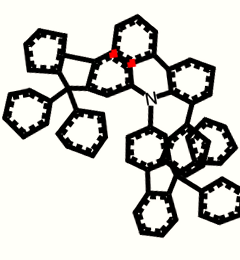 c1ccc(-c2cccc(-c3ccccc3)c2N(c2ccc3c(c2)C(c2ccccc2)(c2ccccc2)c2ccccc2-3)c2ccc3c(c2)C(c2ccccc2)(c2ccccc2)c2ccccc2-3)cc1